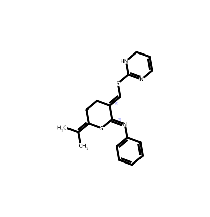 CC(C)=C1CCC(=C\SC2=NC=CCN2)/C(=N/c2ccccc2)S1